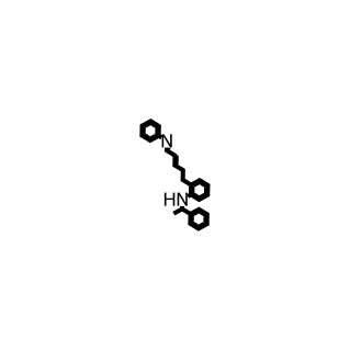 CC(Nc1ccccc1CCC=CC=Nc1ccccc1)c1ccccc1